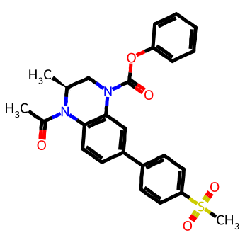 CC(=O)N1c2ccc(-c3ccc(S(C)(=O)=O)cc3)cc2N(C(=O)Oc2ccccc2)C[C@@H]1C